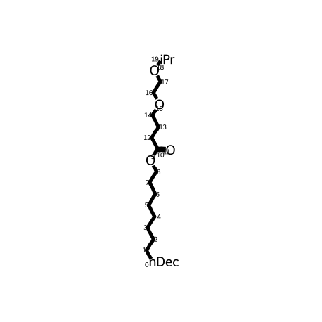 CCCCCCCCCCCCCCCCCCOC(=O)CCCOCCOC(C)C